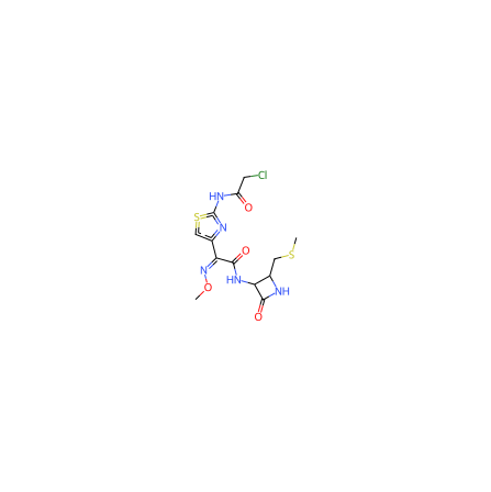 CO/N=C(\C(=O)NC1C(=O)NC1CSC)c1csc(NC(=O)CCl)n1